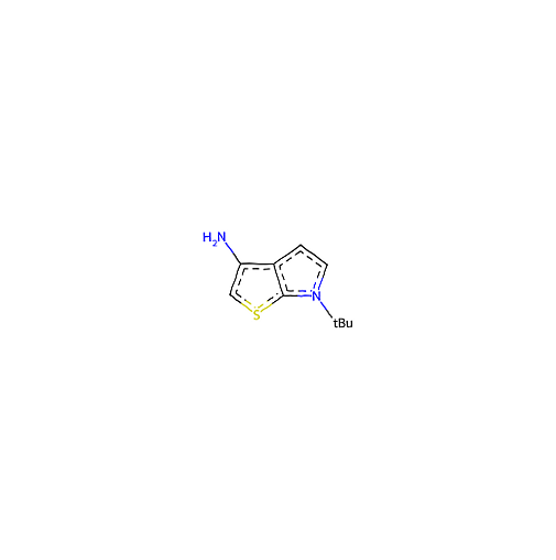 CC(C)(C)n1ccc2c(N)csc21